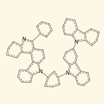 c1ccc(-c2nc3ccccc3c3c2ccc2c3c3ccccc3n2-c2cccc(-n3c4ccccc4c4cc(-n5c6ccccc6c6ccccc65)ccc43)c2)cc1